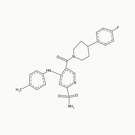 Cc1ccc(Nc2cc(S(N)(=O)=O)ncc2C(=O)N2CCC(c3ccc(F)cc3)CC2)cc1